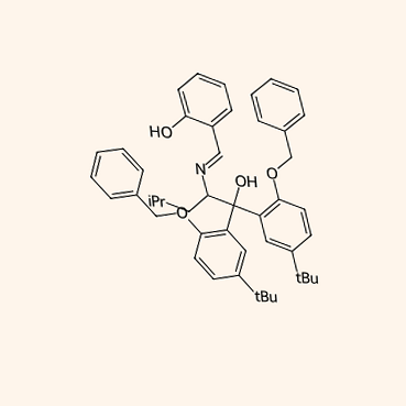 CC(C)CC(N=Cc1ccccc1O)C(O)(c1cc(C(C)(C)C)ccc1OCc1ccccc1)c1cc(C(C)(C)C)ccc1OCc1ccccc1